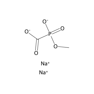 COP(=O)([O-])C(=O)[O-].[Na+].[Na+]